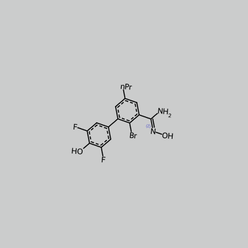 CCCc1cc(/C(N)=N/O)c(Br)c(-c2cc(F)c(O)c(F)c2)c1